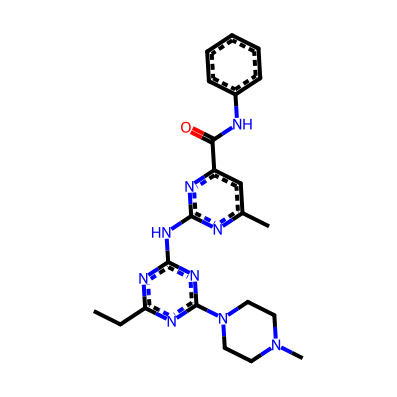 CCc1nc(Nc2nc(C)cc(C(=O)Nc3ccccc3)n2)nc(N2CCN(C)CC2)n1